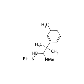 CCNBC(NC)C(C)(C)C1=CC(C)CC=C1